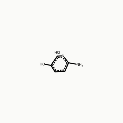 Cl.Nc1ccc(O)cn1